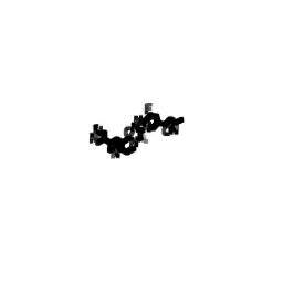 Cc1cc(-c2cc(F)c3nnc([C@H](C)N4C=CC56CC5(C=C(c5cnn(C)c5)C=N6)C4=O)n3c2)on1